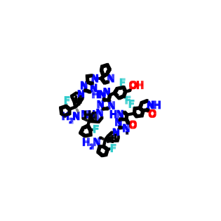 Cn1c(N2CC[C@@H]3[C@H](C2)[C@@]3(CN)c2ccccc2F)nc2[nH]cc(-c3ccc4c(=O)[nH]ccc4c3F)c2c1=O.NC[C@]1(c2ccccc2F)[C@@H]2CCN(c3cnc4c(-c5cc(F)c(CO)c(F)c5)n[nH]c4n3)C[C@@H]21.NC[C@]1(c2ccccc2F)[C@@H]2CCN(c3cnc4c(ccn4-c4ccnc5ccccc45)n3)C[C@@H]21